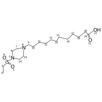 CCS(=O)(=O)N1CCN(CCCCCCCCCCCC(=O)O)CC1